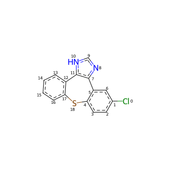 Clc1ccc2c(c1)-c1nc[nH]c1-c1ccccc1S2